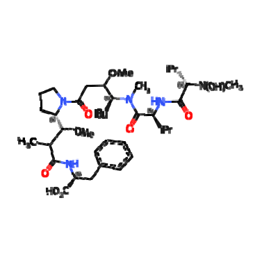 CCC(C)[C@@H](C(CC(=O)N1CCC[C@H]1C(OC)C(C)C(=O)N[C@@H](Cc1ccccc1)C(=O)O)OC)N(C)C(=O)[C@@H](NC(=O)[C@H](C(C)C)N(C)O)C(C)C